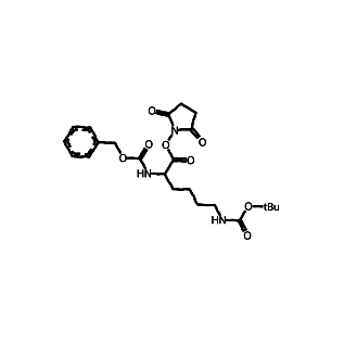 CC(C)(C)OC(=O)NCCCCC(NC(=O)OCc1ccccc1)C(=O)ON1C(=O)CCC1=O